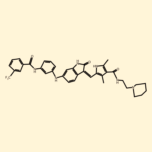 Cc1[nH]c(C=C2C(=O)Nc3cc(Nc4cccc(NC(=O)c5cccc(C(F)(F)F)c5)c4)ccc32)c(C)c1C(=O)NCCN1CCCCC1